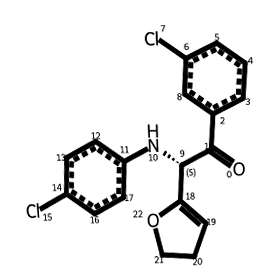 O=C(c1cccc(Cl)c1)[C@@H](Nc1ccc(Cl)cc1)C1=CCCO1